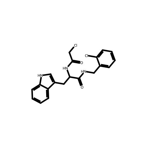 O=C(CCl)NC(Cc1c[nH]c2ccccc12)C(=O)NCc1ccccc1Cl